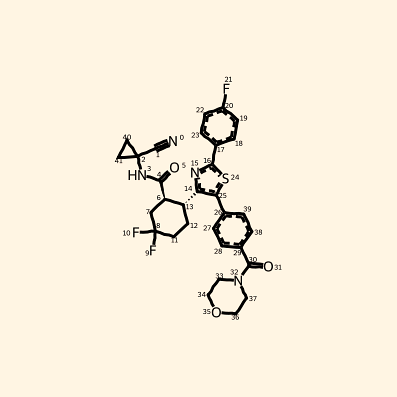 N#CC1(NC(=O)[C@@H]2CC(F)(F)CC[C@H]2c2nc(-c3ccc(F)cc3)sc2-c2ccc(C(=O)N3CCOCC3)cc2)CC1